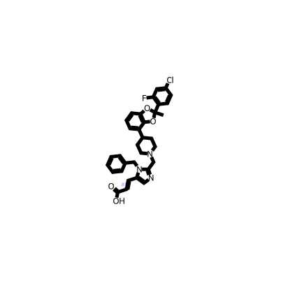 CC1(c2ccc(Cl)cc2F)Oc2cccc(C3CCN(Cc4ncc(/C=C/C(=O)O)n4Cc4ccccc4)CC3)c2O1